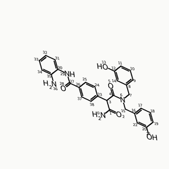 NC(=O)C(C(=O)N(Cc1cccc(O)c1)Cc1cccc(O)c1)c1ccc(C(=O)Nc2ccccc2N)cc1